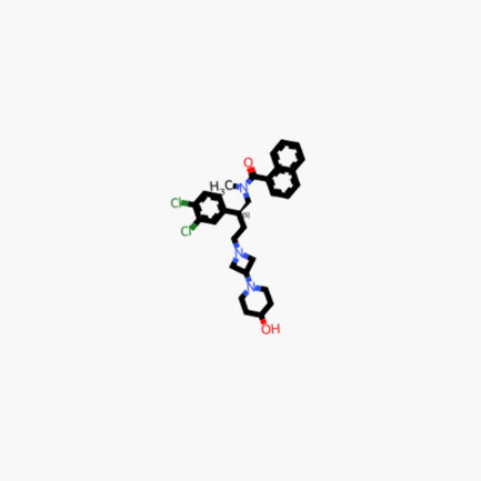 CN(C[C@@H](CCN1CC(N2CCC(O)CC2)C1)c1ccc(Cl)c(Cl)c1)C(=O)c1cccc2ccccc12